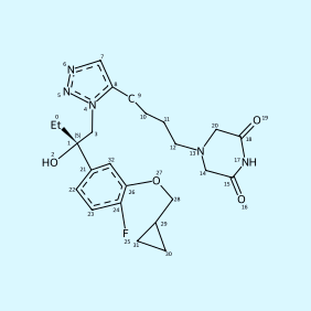 CC[C@@](O)(Cn1nncc1CCCCN1CC(=O)NC(=O)C1)c1ccc(F)c(OCC2CC2)c1